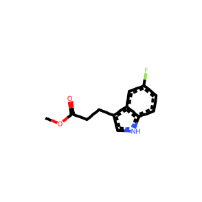 COC(=O)CCc1c[nH]c2ccc(F)cc12